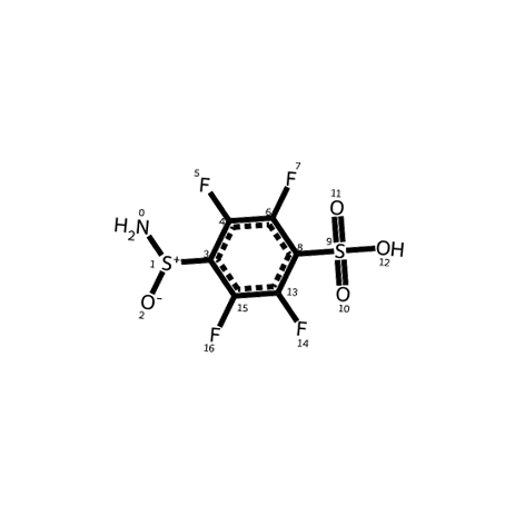 N[S+]([O-])c1c(F)c(F)c(S(=O)(=O)O)c(F)c1F